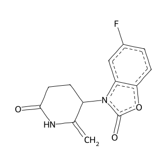 C=C1NC(=O)CCC1n1c(=O)oc2ccc(F)cc21